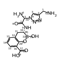 NCc1cn([C@H](N)C(=O)N[C@H]2Cc3cccc(C(=O)O)c3OB2O)nn1